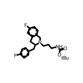 CC(C)(C)OC(=O)NCCCN1Cc2ccc(F)cc2CC1Cc1ccc(F)cc1